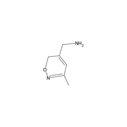 CC1=NOCC(CN)=C1